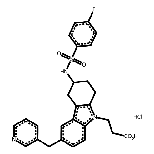 Cl.O=C(O)CCn1c2c(c3cc(Cc4cccnc4)ccc31)CC(NS(=O)(=O)c1ccc(F)cc1)CC2